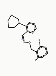 Fc1cccc(F)c1CO/N=[C]\c1ccccc1C1CCCCC1